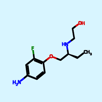 CC[C@@H](COc1ccc(N)cc1F)NCCO